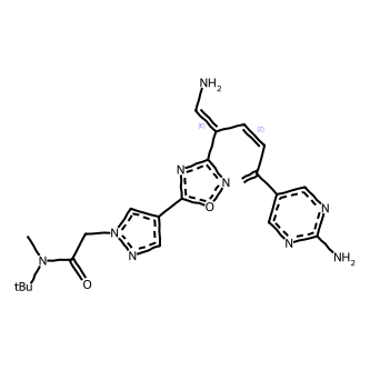 C=C(/C=C\C(=C/N)c1noc(-c2cnn(CC(=O)N(C)C(C)(C)C)c2)n1)c1cnc(N)nc1